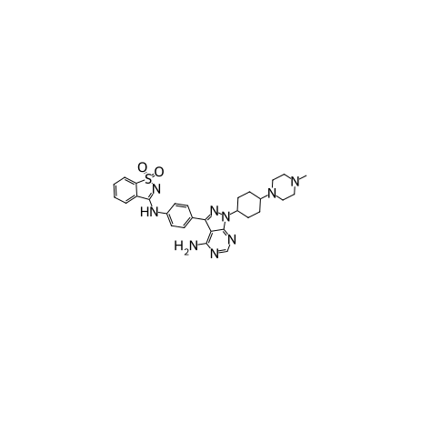 CN1CCN(C2CCC(n3nc(-c4ccc(NC5=NS(=O)(=O)c6ccccc65)cc4)c4c(N)ncnc43)CC2)CC1